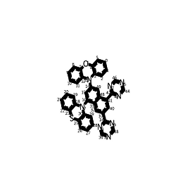 c1ccc2c(c1)Oc1ccccc1N2c1cc(N2c3ccccc3Sc3ccccc32)c2cc(-c3ncncn3)cc(-c3ncncn3)c2c1